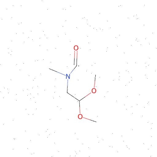 COC(CN(C)[C]=O)OC